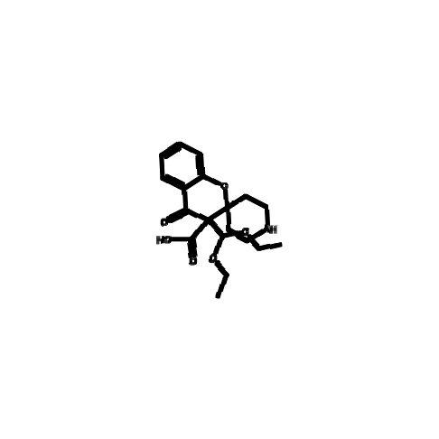 CCOC(OCC)C1(C(=O)O)C(=O)c2ccccc2OC12CCNCC2